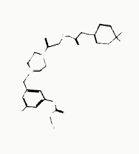 CC(C)OC(=O)Nc1cc(Cl)cc(CN2CCN(C(=O)CNC(=O)CC3CCC(F)(F)CC3)CC2)c1